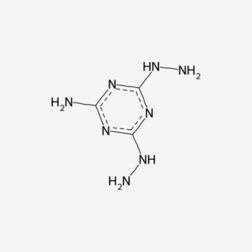 NNc1nc(N)nc(NN)n1